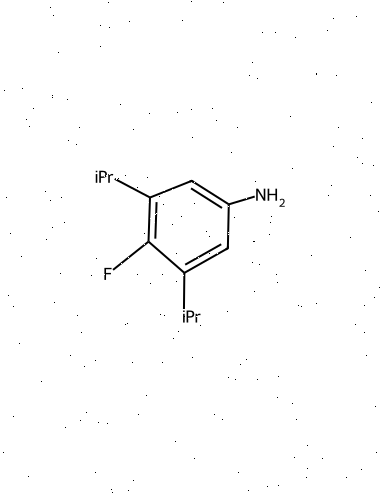 CC(C)c1cc(N)cc(C(C)C)c1F